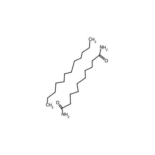 CCCCCCCCCCCC.NC(=O)CCCCCCCCC(N)=O